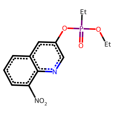 CCOP(=O)(CC)Oc1cnc2c([N+](=O)[O-])cccc2c1